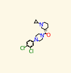 O=C([C@H]1CCCN(C2CC2)C1)N1CCN(c2ccc(Cl)c(Cl)c2)CC1